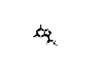 Cc1cc(C)n2ncc(C(=O)NC(C)C)c2n1